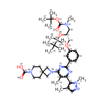 Cc1cnn(C)c1-c1nc(-c2cccc(OC[C@@H](CN(C)C(=O)OC(C)(C)C)O[Si](C)(C)C(C)(C)C)c2)nc(N2CC3(CCN(C(=O)O)CC3)C2)c1C